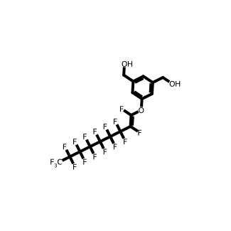 OCc1cc(CO)cc(OC(F)=C(F)C(F)(F)C(F)(F)C(F)(F)C(F)(F)C(F)(F)C(F)(F)C(F)(F)F)c1